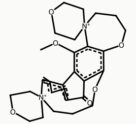 COc1c2c3c(c4c1[N+]1(CCCO4)CCOCC1)OCCC[N+]1(CCOCC1)c1cccc(c1-2)C3=O